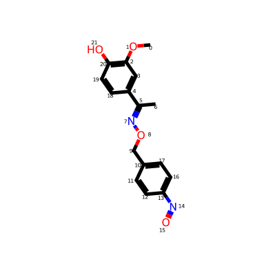 COc1cc(/C(C)=N/OCc2ccc(N=O)cc2)ccc1O